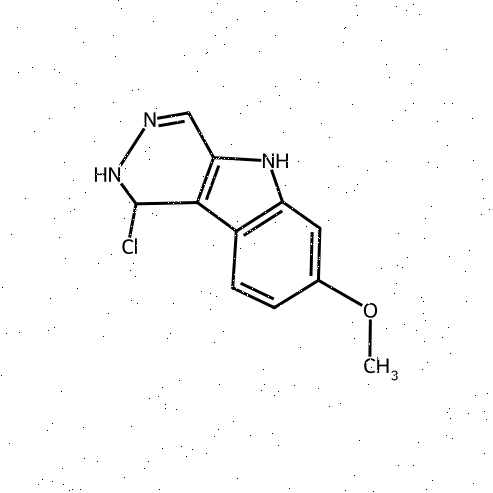 COc1ccc2c3c([nH]c2c1)C=NNC3Cl